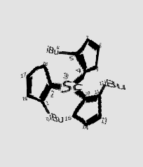 CCC(C)C1=[C]([Sc]([C]2=C(C(C)CC)C=CC2)[C]2=C(C(C)CC)C=CC2)CC=C1